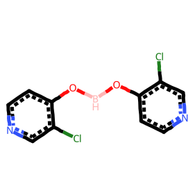 Clc1cnccc1OBOc1ccncc1Cl